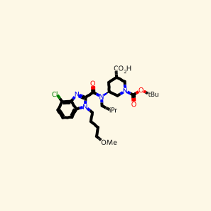 COCCCCn1c(C(=O)N(CC(C)C)[C@H]2CC(C(=O)O)CN(C(=O)OC(C)(C)C)C2)nc2c(Cl)cccc21